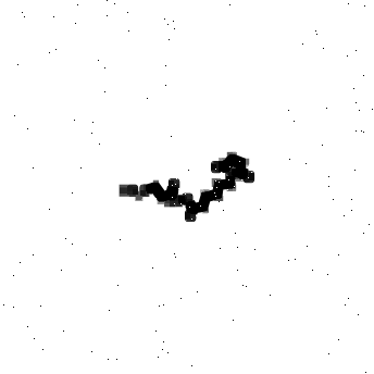 O=C(O)CCC(=O)NOC(=O)CCCCCN1C(=O)C=CC1=O